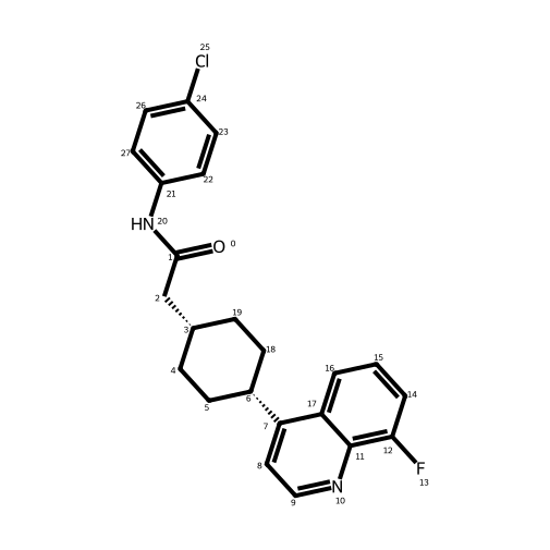 O=C(C[C@H]1CC[C@@H](c2ccnc3c(F)cccc32)CC1)Nc1ccc(Cl)cc1